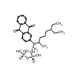 CCN(CC)CCCC(C)N(C)c1ccc2c(c1)C(=O)c1ccccc1C2=O.O=P(O)(O)OP(=O)(O)O